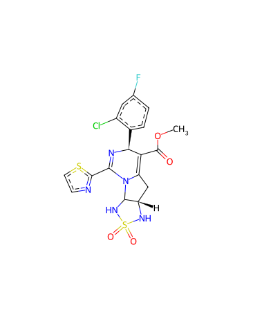 COC(=O)C1=C2C[C@@H]3NS(=O)(=O)NC3N2C(c2nccs2)=N[C@H]1c1ccc(F)cc1Cl